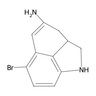 NC1=Cc2c(Br)ccc3c2C(CN3)C1